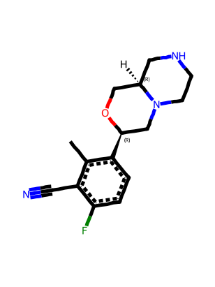 Cc1c([C@@H]2CN3CCNC[C@@H]3CO2)ccc(F)c1C#N